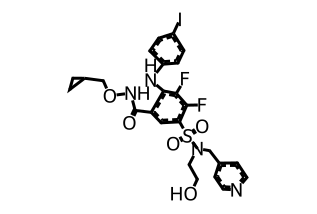 O=C(NOCC1CC1)c1cc(S(=O)(=O)N(CCO)Cc2ccncc2)c(F)c(F)c1Nc1ccc(I)cc1